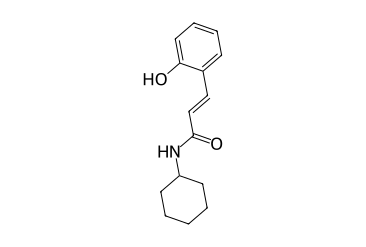 O=C(C=Cc1ccccc1O)NC1CCCCC1